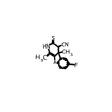 CC(=O)C1=C(C)NC(=S)C(C#N)C1(C)c1cccc(F)c1